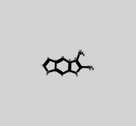 Nc1sc2cc3occc3cc2c1N